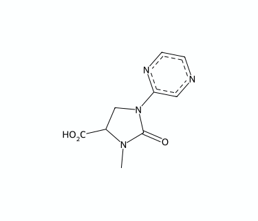 CN1C(=O)N(c2cnccn2)CC1C(=O)O